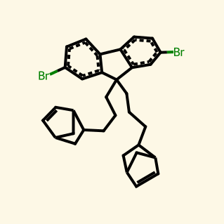 Brc1ccc2c(c1)C(CCCC1CC3C=CC1C3)(CCCC1CC3C=CC1C3)c1cc(Br)ccc1-2